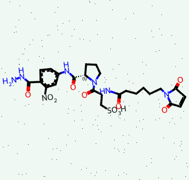 NNC(=O)c1ccc(NC(=O)[C@@H]2CCCN2C(=O)C(CS(=O)(=O)O)NC(=O)CCCCCN2C(=O)C=CC2=O)cc1[N+](=O)[O-]